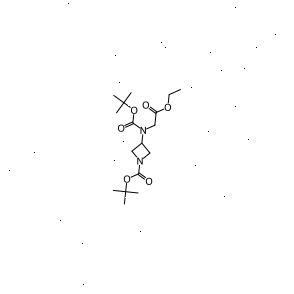 CCOC(=O)CN(C(=O)OC(C)(C)C)C1CN(C(=O)OC(C)(C)C)C1